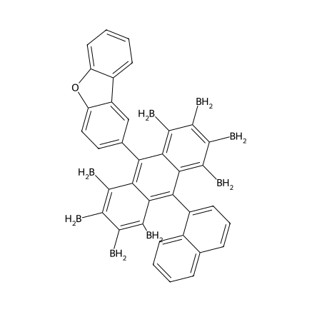 Bc1c(B)c(B)c2c(-c3cccc4ccccc34)c3c(B)c(B)c(B)c(B)c3c(-c3ccc4oc5ccccc5c4c3)c2c1B